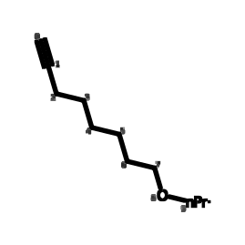 C#CCCCCCCO[CH]CC